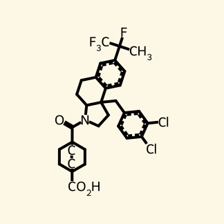 CC(F)(c1ccc2c(c1)CCC1N(C(=O)C34CCC(C(=O)O)(CC3)CC4)CCC21Cc1ccc(Cl)c(Cl)c1)C(F)(F)F